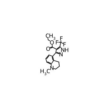 CCOC(=O)c1c(-c2cccc3c2CCCN3C)n[nH]c1C(F)(F)F